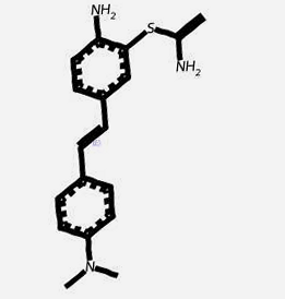 C=C(N)Sc1cc(/C=C/c2ccc(N(C)C)cc2)ccc1N